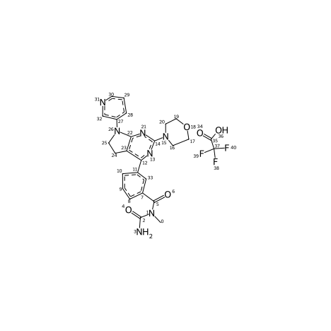 CN(C(N)=O)C(=O)c1cccc(-c2nc(N3CCOCC3)nc3c2CCN3c2cccnc2)c1.O=C(O)C(F)(F)F